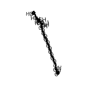 Cc1nc(NCCCc2cccc(O)c2)nc(C)c1C(=O)N[C@@H](CNC(=O)CCOCCOCCOCCOCCOCCOCCOCCOCCOCCOCCOCCOCCNC(=O)CCN1C(=O)C=CC1=O)C(=O)O